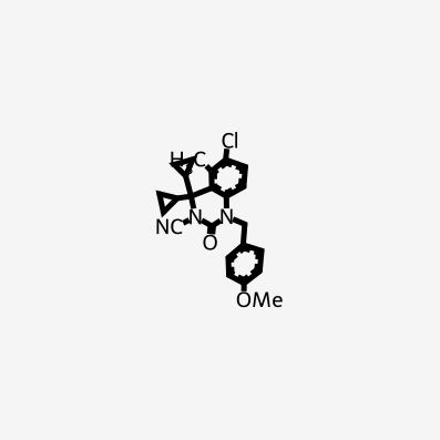 COc1ccc(CN2C(=O)N(C#N)C(C3CC3)(C3CC3)c3c2ccc(Cl)c3C)cc1